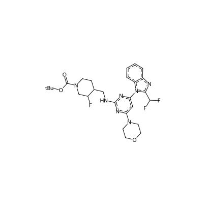 CC(C)(C)OC(=O)N1CCC(CNc2nc(N3CCOCC3)cc(-n3c(C(F)F)nc4ccccc43)n2)C(F)C1